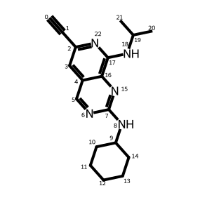 C#Cc1cc2cnc(NC3CCCCC3)nc2c(NC(C)C)n1